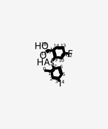 Cc1cc(I)ccc1[AsH]c1cc(F)ccc1C(=O)O